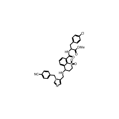 COC(=O)C(Cc1ccc(Cl)cc1)NC(=O)c1cccc2c1S(=O)(=O)CCC2NCc1cncn1Cc1ccc(C#N)cc1